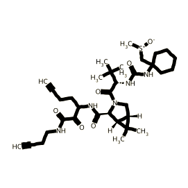 C#CCCNC(=O)C(=O)C(CCC#C)NC(=O)[C@@H]1[C@@H]2[C@H](CN1C(=O)[C@@H](NC(=O)NC1(C[S+](C)[O-])CCCCC1)C(C)(C)C)C2(C)C